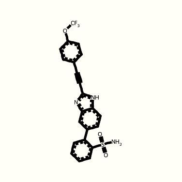 NS(=O)(=O)c1ccccc1-c1ccc2[nH]c(C#Cc3ccc(OC(F)(F)F)cc3)nc2c1